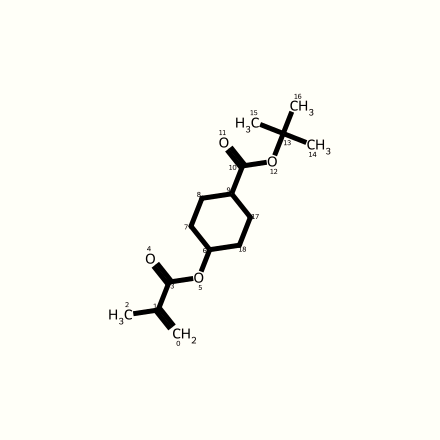 C=C(C)C(=O)OC1CCC(C(=O)OC(C)(C)C)CC1